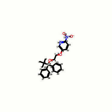 CC(C)(C)[Si](OCCOc1ccc([N+](=O)[O-])nc1)(c1ccccc1)c1ccccc1